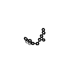 c1cc(-c2ccc3oc4c(ccc5c6ccccc6oc54)c3c2)cc(-c2ccc3c4ccc(-c5ccc6ccccc6c5)cc4c4ccccc4c3c2)c1